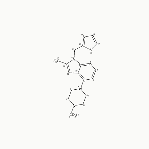 O=C(O)N1CCN(c2cccc3c2cc(C(F)(F)F)n3Cc2nccs2)CC1